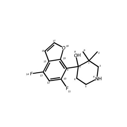 CC1(C)CNCCC1(O)c1c(F)cc(F)c2ccoc12